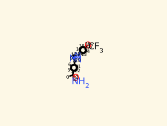 CC(ON)c1ccc(-c2ncn(-c3ccc(OC(F)(F)F)cc3)n2)cc1